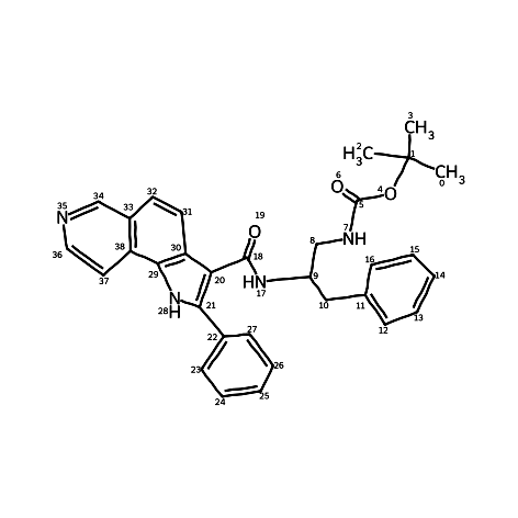 CC(C)(C)OC(=O)NCC(Cc1ccccc1)NC(=O)c1c(-c2ccccc2)[nH]c2c1ccc1cnccc12